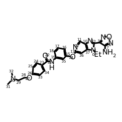 CCn1c(-c2nonc2N)nc2cnc(Oc3cccc(NC(=O)c4ccc(OCCN(C)C)cc4)c3)cc21